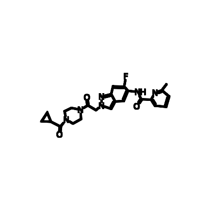 Cc1cccc(C(=O)Nc2cc3cn(CC(=O)N4CCN(C(=O)C5CC5)CC4)nc3cc2F)n1